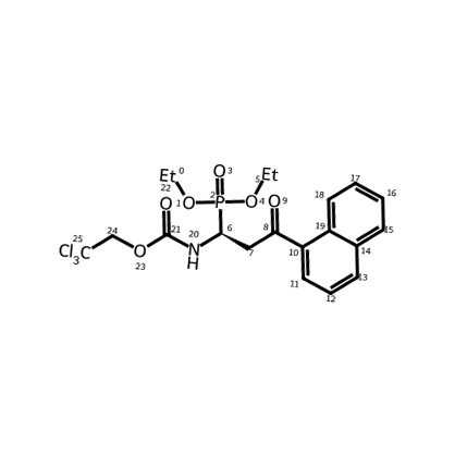 CCOP(=O)(OCC)[C@@H](CC(=O)c1cccc2ccccc12)NC(=O)OCC(Cl)(Cl)Cl